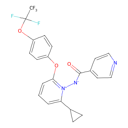 O=C([N-][n+]1c(Oc2ccc(OC(F)(F)C(F)(F)F)cc2)cccc1C1CC1)c1ccncc1